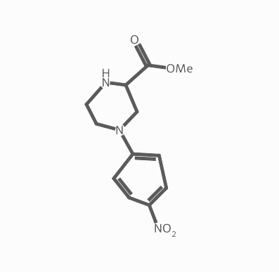 COC(=O)C1CN(c2ccc([N+](=O)[O-])cc2)CCN1